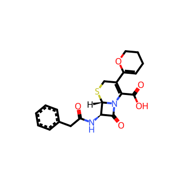 O=C(Cc1ccccc1)N[C@@H]1C(=O)N2C(C(=O)O)=C(C3=CCCCO3)CS[C@@H]12